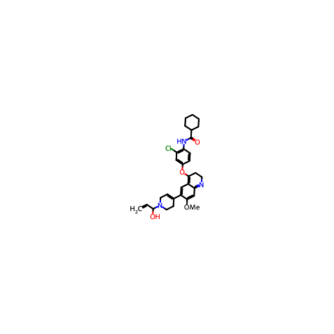 C=CC(O)N1CC=C(c2cc3c(cc2OC)=NCCC=3Oc2ccc(NC(=O)C3CCCCC3)c(Cl)c2)CC1